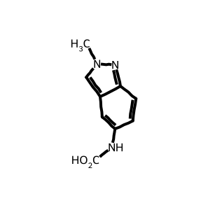 Cn1cc2cc(NC(=O)O)ccc2n1